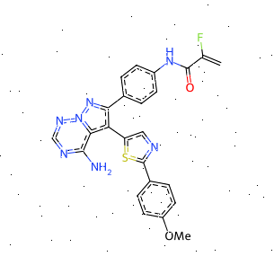 C=C(F)C(=O)Nc1ccc(-c2nn3ncnc(N)c3c2-c2cnc(-c3ccc(OC)cc3)s2)cc1